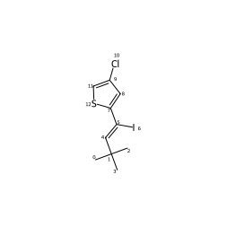 CC(C)(C)/C=C(\I)c1cc(Cl)cs1